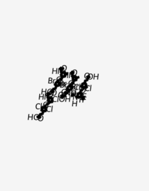 CC(=O)Nc1cc(C)cc(COc2c(Br)cc(CCC(=O)O)cc2Br)c1.CC(=O)Nc1cc(C)cc(COc2c(Br)cc(NC(=O)CC(=O)O)cc2Br)c1.CC(=O)Nc1cc(COc2c(Cl)cc(CCC(=O)O)cc2Cl)cc(C(F)(F)F)c1.CC(=O)Nc1cc(Cl)cc(COc2c(Cl)cc(CCC(=O)O)cc2Cl)c1